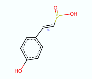 O=S(O)/C=C/c1ccc(O)cc1